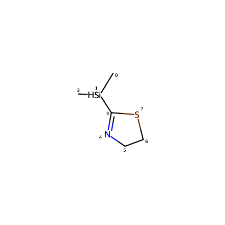 C[SiH](C)C1=NCCS1